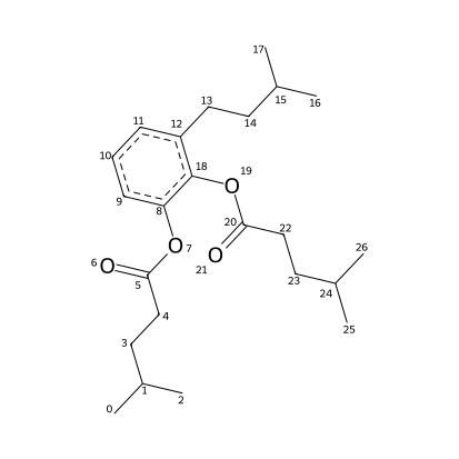 CC(C)CCC(=O)Oc1cccc(CCC(C)C)c1OC(=O)CCC(C)C